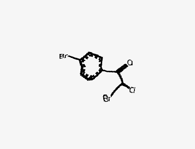 O=C(c1ccc(Br)cc1)C(Cl)Br